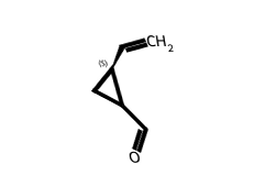 C=C[C@@H]1CC1C=O